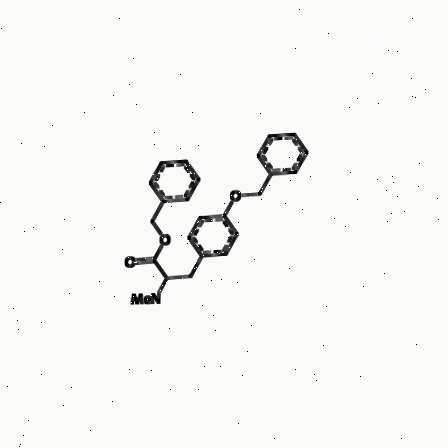 CNC(Cc1ccc(OCc2ccccc2)cc1)C(=O)OCc1ccccc1